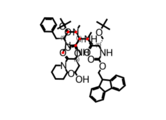 CC(C)[C@@H](C(=O)N[C@@H](CC(=O)O)C(=O)N1CCCCC1)N(C)C(=O)[C@H](Cc1ccccc1)N(C)C(=O)[C@H](COC(C)(C)C)NC(=O)[C@H](COC(C)(C)C)NC(=O)OCC1c2ccccc2-c2ccccc21